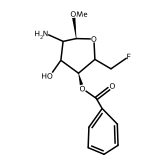 CO[C@H]1OC(CF)[C@@H](OC(=O)c2ccccc2)C(O)C1N